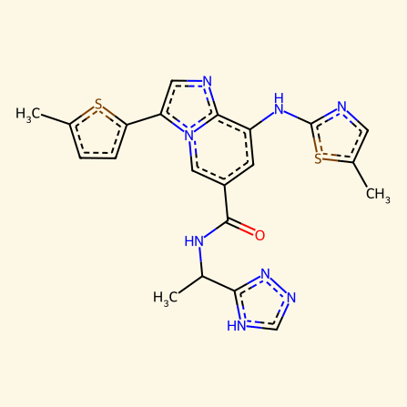 Cc1ccc(-c2cnc3c(Nc4ncc(C)s4)cc(C(=O)NC(C)c4nnc[nH]4)cn23)s1